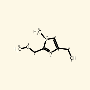 COCc1nc(CO)cn1C